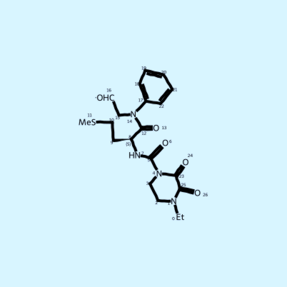 CCN1CCN(C(=O)N[C@@H](CCSC)C(=O)N(C[C]=O)c2ccccc2)C(=O)C1=O